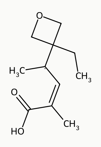 CCC1([C](C)C=C(C)C(=O)O)COC1